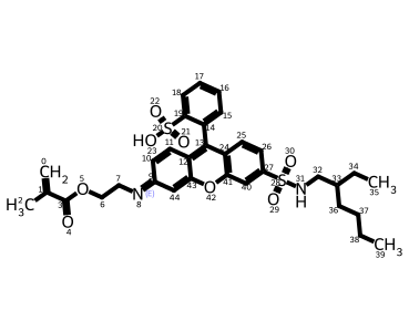 C=C(C)C(=O)OCC/N=c1\ccc2c(-c3ccccc3S(=O)(=O)O)c3ccc(S(=O)(=O)NCC(CC)CCCC)cc3oc-2c1